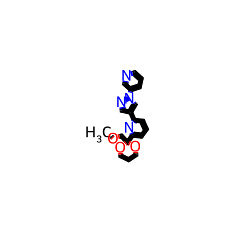 COCC1(c2cccc(-c3cnn(-c4cccnc4)c3)n2)OCCCO1